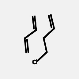 C=CC=C.C=CCCCl